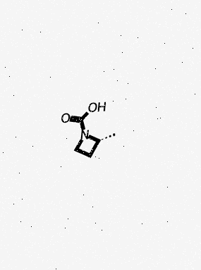 C[C@@H]1CCN1C(=O)O